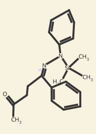 CC(=O)CC/C(=N/N(c1ccccc1)[Si](C)(C)C)c1ccccc1